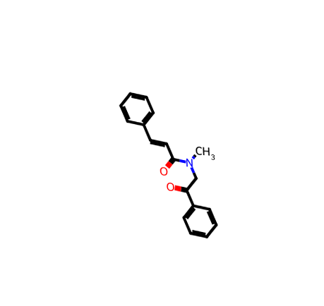 CN(CC(=O)c1ccccc1)C(=O)/C=C/c1ccccc1